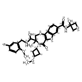 COc1ccc(F)cc1CNC(O)C1(C)COc2c(oc3cc(C(=O)NC4(C)COC4)ccc23)C(=O)N1[C@H]1C[C@@H](OC)C1